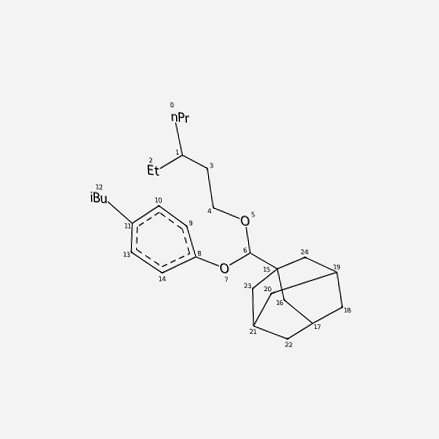 CCCC(CC)CCOC(Oc1ccc(C(C)CC)cc1)C12CC3CC(CC(C3)C1)C2